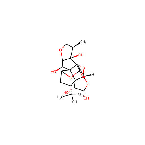 C[C@@H]1COC2[C@H](O)C34C5C[C@@H](C(C)(C)C)C36[C@@H](O[C@H](O)[C@@H]6O)O[C@@]4(C(=O)O5)[C@]21O